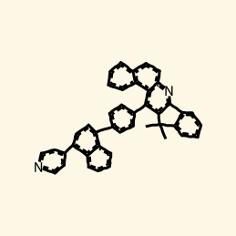 CC1(C)c2ccccc2-c2nc3ccc4ccccc4c3c(-c3ccc(-c4ccc(-c5ccncc5)c5ccccc45)cc3)c21